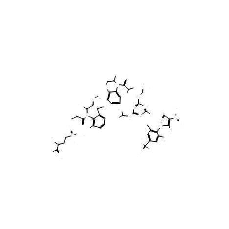 CC1COc2ccccc2N1C(=O)C(Cl)Cl.CCNc1nc(Cl)nc(NC(C)C)n1.CCc1cccc(C)c1N(C(=O)CCl)C(C)COC.CP(=O)(O)CCC(N)C(=O)O.Nc1c([N+](=O)[O-])cnn1-c1c(Cl)cc(C(F)(F)F)cc1Cl